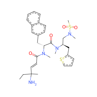 CCC(C)(N)C=CC(=O)N(C)[C@H](Cc1ccc2ccccc2c1)C(=O)N(C)[C@H](Cc1cccs1)CN(C)S(C)(=O)=O